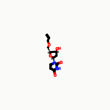 C=CCOC[C@H]1O[C@@H](n2ccc(=O)[nH]c2=O)C[C@@H]1O